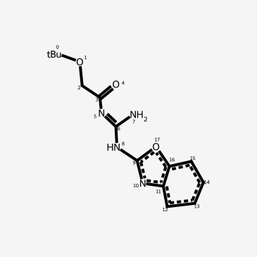 CC(C)(C)OCC(=O)/N=C(\N)Nc1nc2ccccc2o1